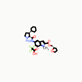 Cn1c(C(=O)OC[C@@H]2CCCO2)cc2cc(NC(=O)[C@H]3NCC[C@H]3C3CCCCC3)ccc21.O=C(O)C(F)(F)F